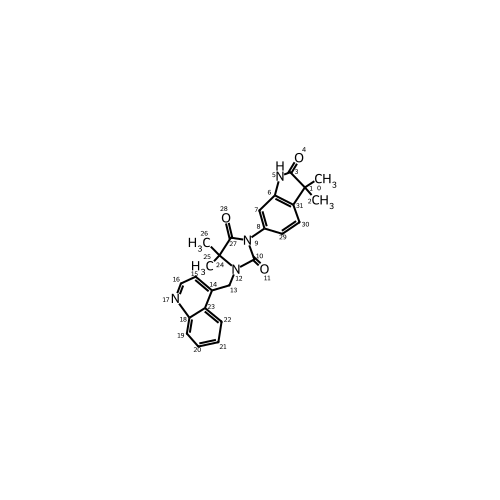 CC1(C)C(=O)Nc2cc(N3C(=O)N(Cc4ccnc5ccccc45)C(C)(C)C3=O)ccc21